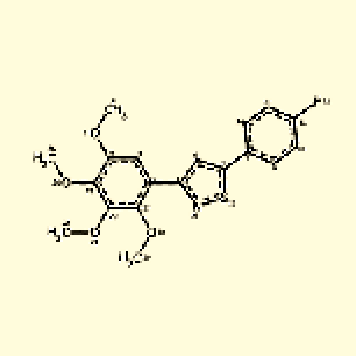 COc1cc(-c2cc(-c3ccc(F)cc3)sn2)c(OC)c(OC)c1OC